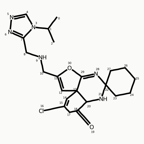 CC(C)n1cnnc1CNCC1=CC23C=C(Cl)CC(=O)C2NC2(CCCCC2)N=C3O1